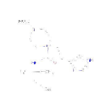 CC(C)(C)CC(C)(C)NC(=O)[N+]1(CCc2c[nH]cn2)CCN(C(=O)O)CC1